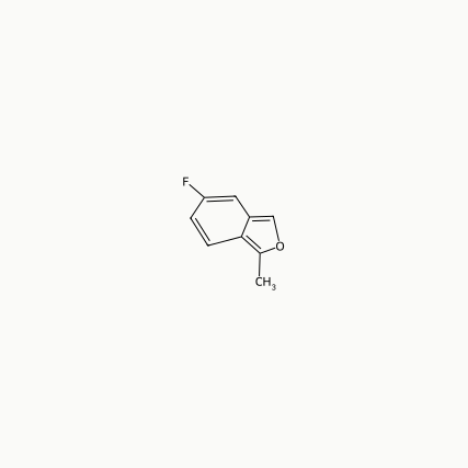 Cc1occ2cc(F)ccc12